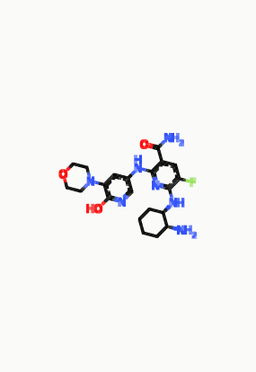 NC(=O)c1cc(F)c(N[C@@H]2CCCC[C@@H]2N)nc1Nc1cnc(O)c(N2CCOCC2)c1